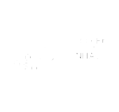 CCOC(=O)CC(CNC(C)=O)Cc1ccc(OS(C)(=O)=O)cc1